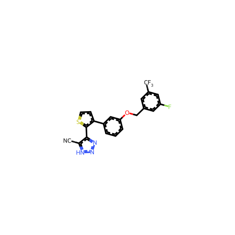 N#Cc1[nH]nnc1-c1sccc1-c1cccc(OCc2cc(F)cc(C(F)(F)F)c2)c1